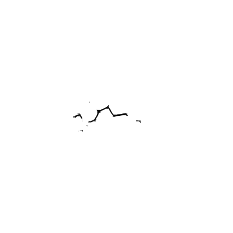 CCCCCOCCCC(CN(C)CC(C)C)C(=O)O